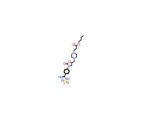 CCCCOC(=O)CCN1CCN(CC2CN(c3ccc(C(=N)NS(C)(=O)=O)cc3)C(=O)O2)CC1